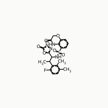 Cc1ccc(F)c(C(C)C(NS(=O)(=O)c2cccc3c2NC(=O)CO3)c2n[nH]c(=O)o2)c1C